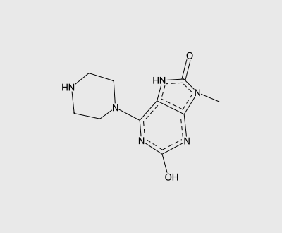 Cn1c(=O)[nH]c2c(N3CCNCC3)nc(O)nc21